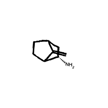 C=C1C2CCC1[C@@H](N)C2